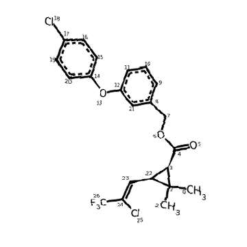 CC1(C)[C@H](C(=O)OCc2cccc(Oc3ccc(Cl)cc3)c2)[C@@H]1/C=C(\Cl)C(F)(F)F